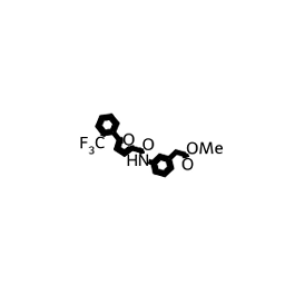 COC(=O)Cc1cccc(NC(=O)c2ccc(-c3ccccc3C(F)(F)F)o2)c1